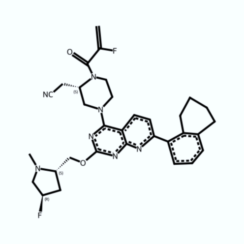 C=C(F)C(=O)N1CCN(c2nc(OC[C@@H]3C[C@@H](F)CN3C)nc3nc(-c4cccc5c4CCCC5)ccc23)C[C@@H]1CC#N